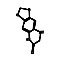 O=C1CNc2cc3c(cc2N1)OCO3